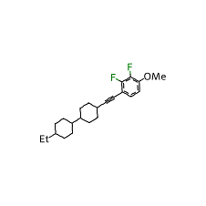 CCC1CCC(C2CCC(C#Cc3ccc(OC)c(F)c3F)CC2)CC1